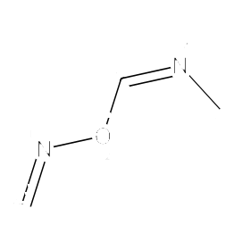 C=NO/C=N\C